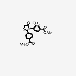 COC(=O)c1ccc(C2SCC(=O)N2c2ccc(C(=O)OC)cc2C)cc1